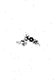 CCC(ON=C(c1ccc(OS(C)(=O)=O)cc1)C(F)(F)F)[SH](=O)=O